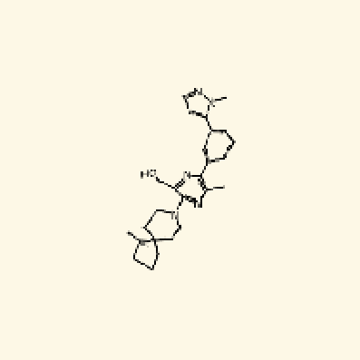 Cc1nc(N2CCC3(CCC[C@H]3C)CC2)c(CO)nc1-c1cccc(-c2ccnn2C)c1